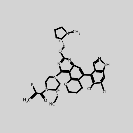 C=C(F)C(=O)N1CCN(c2nc(OC[C@@H]3CCCN3C)nc3cc(-c4c(Cl)c(Cl)cc5[nH]ncc45)c4c(c23)OCCC4)C[C@@H]1CC#N